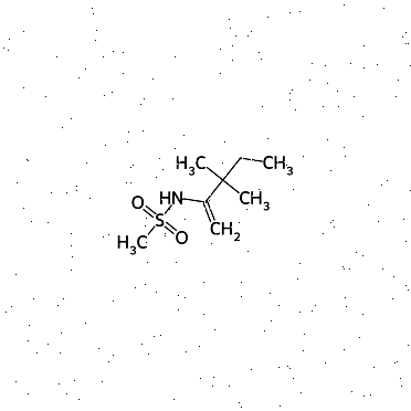 C=C(NS(C)(=O)=O)C(C)(C)CC